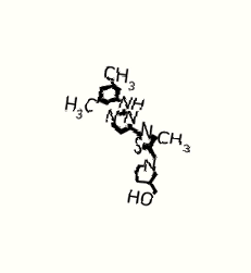 Cc1cc(C)cc(Nc2nccc(-c3nc(C)c(CN4CCCC(CO)C4)s3)n2)c1